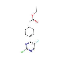 CCOC(=O)CC1CC=C(c2nc(Cl)ncc2F)CC1